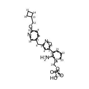 Nc1c(-c2cc(Cc3ccc(OCC4CCC4)nc3)no2)ccc[n+]1COP(=O)([O-])O